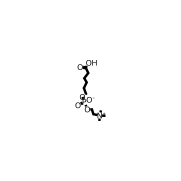 C[N+](C)(C)CCOP(=O)([O-])OCCCCCC(=O)O